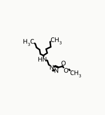 CCCCCC(CCCCC)NCCn1cnc(C(=O)OCC)c1